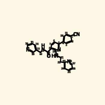 N#Cc1ccc(-c2ccc(C(=O)NCc3cccnc3)c(NCCc3ccccn3)n2)cc1